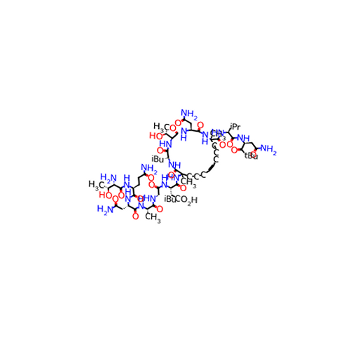 CC[C@H](C)[C@H](NC(=O)[C@H](C)NC(=O)[C@H](CC(N)=O)NC(=O)[C@H](CCC(N)=O)NC(=O)[C@@H](N)[C@@H](C)O)C(=O)N[C@@H](CC(=O)O)C(=O)N[C@@]1(C)CCC/C=C\CCC[C@@](C)(C(=O)N[C@H](C(=O)N[C@@H](CC(N)=O)C(=O)C(C)(C)C)C(C)C)NC(=O)[C@H](CC(N)=O)NC(=O)[C@H]([C@@H](C)O)NC(=O)[C@H]([C@@H](C)CC)NC1=O